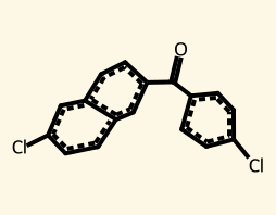 O=C(c1ccc(Cl)cc1)c1ccc2cc(Cl)ccc2c1